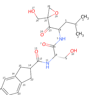 CC(C)CC(NC(=O)[C@H](CO)NC(=O)C1Cc2ccccc2C1)C(=O)C1(CO)CO1